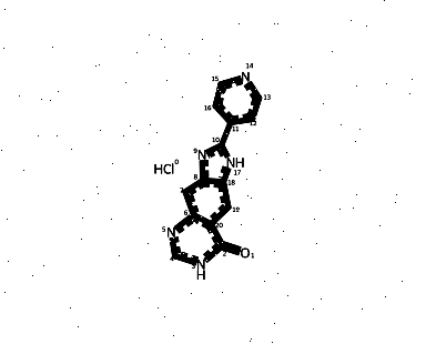 Cl.O=c1[nH]cnc2cc3nc(-c4ccncc4)[nH]c3cc12